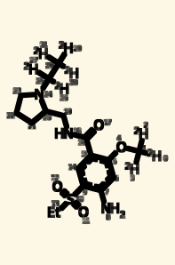 [2H]C([2H])([2H])Oc1cc(N)c(S(=O)(=O)CC)cc1C(=O)NCC1CCCN1C([2H])([2H])C([2H])([2H])[2H]